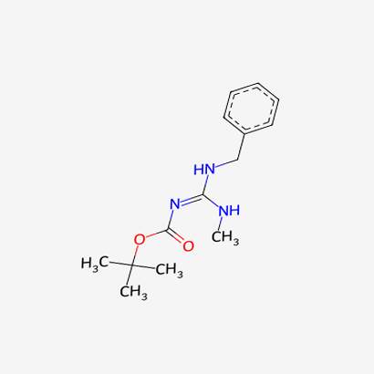 CN/C(=N\C(=O)OC(C)(C)C)NCc1ccccc1